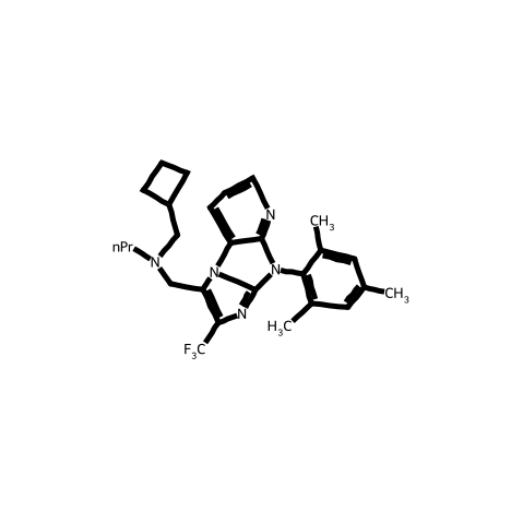 CCCN(Cc1c(C(F)(F)F)nc2n(-c3c(C)cc(C)cc3C)c3ncccc3n12)CC1CCC1